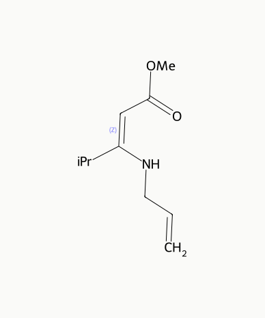 C=CCN/C(=C\C(=O)OC)C(C)C